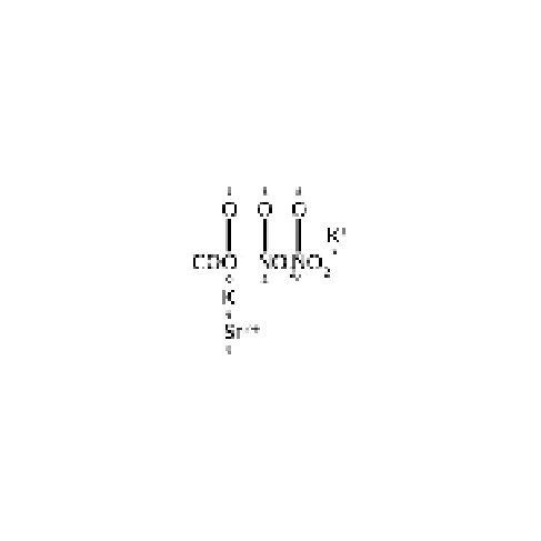 O=C([O-])[O-].O=[N+]([O-])[O-].O=[N+]([O-])[O-].[K+].[K+].[Sr+2]